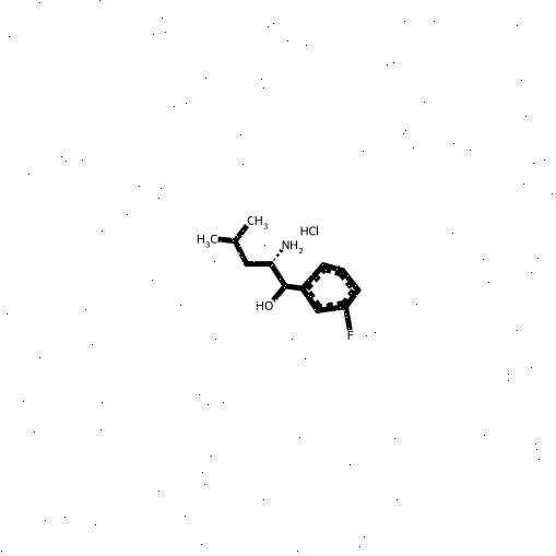 CC(C)C[C@H](N)C(O)c1cccc(F)c1.Cl